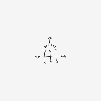 ClC(Cl)(Cl)C(Cl)(Cl)C(Cl)(Cl)C(Cl)(Cl)C(Cl)(Cl)Cl.O=[SH](=O)O